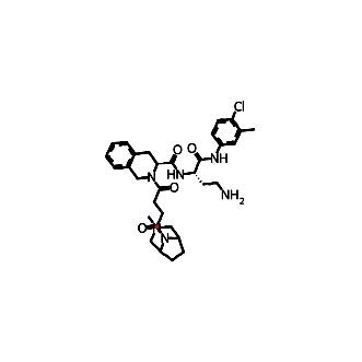 Cc1cc(NC(=O)[C@H](CCN)NC(=O)[C@@H]2Cc3ccccc3CN2C(=O)CCC(=O)N2C3CCC2CN(C)C3)ccc1Cl